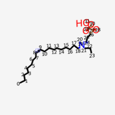 CCCCCCCC/C=C\CCCCCCCCC[N+](C)(CCC)CCCS(=O)(=O)OO